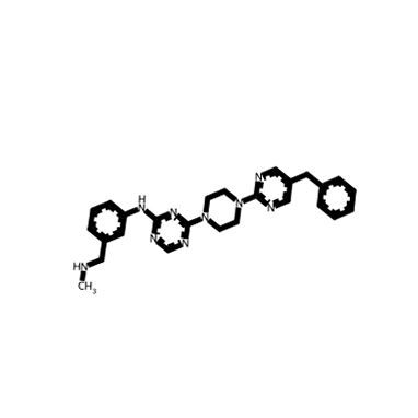 CNCc1cccc(Nc2ncnc(N3CCN(c4ncc(Cc5ccccc5)cn4)CC3)n2)c1